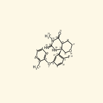 Cc1nccnc1Oc1ccc(F)c([C@]23COCCC2C(=O)N(C)C(=N)N3)c1